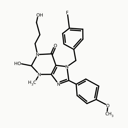 COc1ccc(-c2nc3c(n2Cc2ccc(F)cc2)C(=O)N(CCCO)C(O)N3C)cc1